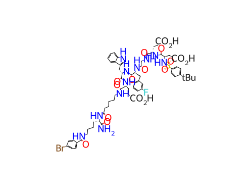 CC(C)(C)c1ccc(S(=O)(=O)N[C@H](CC(=O)O)C(=O)N[C@@H](CCC(=O)O)C(=O)NCC(=O)N[C@@H](Cc2cccc(F)c2)C(=O)N[C@@H](Cc2c[nH]c3ccccc23)C(=O)N[C@@H](CCC(=O)O)C(=O)NCCCCCC(=O)N[C@@H](CCCCNC(=O)c2ccc(Br)cc2)C(N)=O)cc1